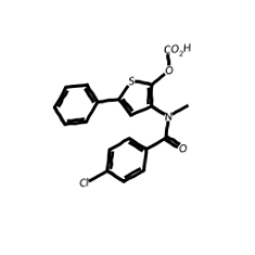 CN(C(=O)c1ccc(Cl)cc1)c1cc(-c2ccccc2)sc1OC(=O)O